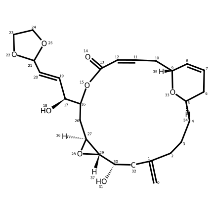 C=C1CCC[C@@H]2CC=C[C@@H](C/C=C\C(=O)OC([C@@H](O)/C=C/C3OCCO3)C[C@@H]3O[C@H]3[C@@H](O)C1)O2